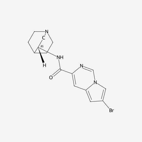 O=C(N[C@H]1CN2CCC1CC2)c1cc2cc(Br)cn2cn1